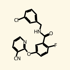 N#Cc1cccnc1Oc1ccc(F)c(C(=O)NCc2cccc(Cl)c2)c1